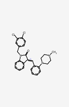 CN1CCN(c2ccccc2/C=C2/C(=O)N(Cc3ccc(Cl)c(Cl)c3)c3ccccc32)CC1